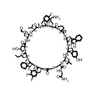 CCCC[C@H]1C(=O)N2C[C@@H](O)C[C@@H]2C(=O)N[C@@H](COC=O)C(=O)N[C@@H](C(C)C)C(=O)N(C)[C@@H](Cc2ccc(F)cc2)C(=O)N[C@@H](CCCN)C(=O)N2CCC[C@@H]2C(=O)N[C@@H](Cc2c[nH]c3ccccc23)C(=O)N[C@@H](Cc2ccc(O)cc2)C(=O)N[C@@H](CC(C)C)C(=O)N[C@H](C(=O)NCC(N)=O)CSCC(=O)N[C@@H](Cc2cc(F)c(F)c(F)c2)C(=O)N(C)[C@@H](Cc2ccccc2)C(=O)N1C